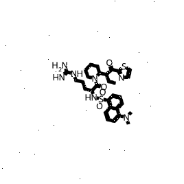 CCC(C(=O)c1nccs1)C1CCCCN1C(=O)C(CCCNC(=N)N)NS(=O)(=O)c1cccc2c(N(C)C)cccc12